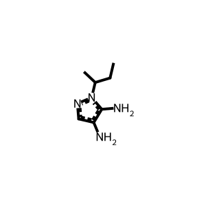 CCC(C)n1ncc(N)c1N